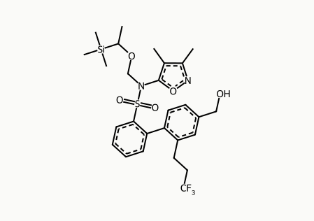 Cc1noc(N(COC(C)[Si](C)(C)C)S(=O)(=O)c2ccccc2-c2ccc(CO)cc2CCC(F)(F)F)c1C